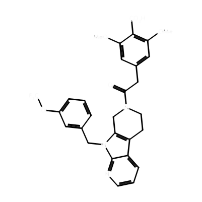 COc1cc(CC(=O)N2CCc3c(n(Cc4cccc(OC(F)(F)F)c4)c4ncccc34)C2)cc(OC)c1C(=O)O